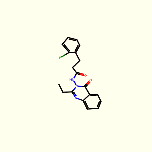 CCc1nc2ccccc2c(=O)n1NC(=O)CCc1ccccc1F